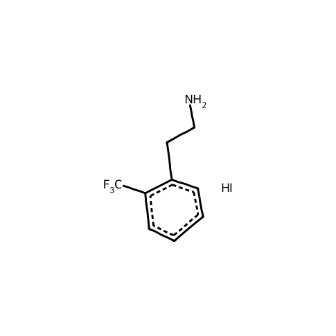 I.NCCc1ccccc1C(F)(F)F